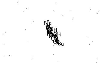 C[C@@H](Nc1ncnc2c1cc(C1(O)CCN(C(=O)OC(C)(C)C)C1)c(=O)n2C)c1cccc(C(F)F)c1F